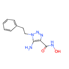 Nc1c(C(=O)NO)nnn1CCc1ccccc1